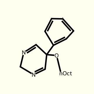 CCCCCCCCOC1(c2cc[c]cc2)C=NCN=C1